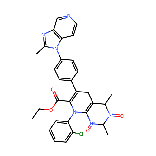 CCOC(=O)C1=C(c2ccc(-n3c(C)nc4cnccc43)cc2)CC2=C(N1c1ccccc1Cl)[N+](=O)C(C)[N+](=O)C2C